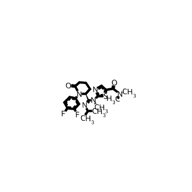 CC(C)/N=C(/[C@@H]1CCCC(=O)N1c1ccc(F)c(F)c1)N(C)c1ncc(C(=O)N(C)C)s1